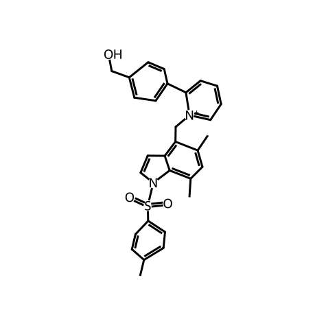 Cc1ccc(S(=O)(=O)n2ccc3c(C[n+]4ccccc4-c4ccc(CO)cc4)c(C)cc(C)c32)cc1